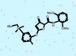 COc1cccc(OC)c1NC(=O)C1OC(Oc2cc([Si](C)(C)CC(C)(C)C)ccc2C)=CC1=O